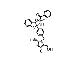 CCCCc1nc(Cl)c(CO)n1Cc1ccc(C2(NS(=O)(=O)C(=O)c3ccccc3)Cc3ccccc3S2)cc1